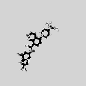 Cc1cn2cc(NC(=O)c3ccc(N4CCC(N(C)C)CC4)c4ccnnc34)cc(F)c2n1